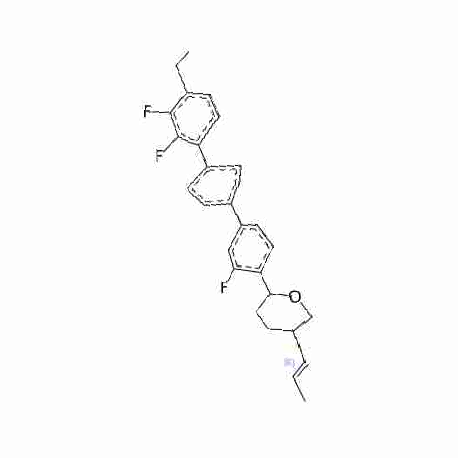 C/C=C/C1CCC(c2ccc(-c3ccc(-c4ccc(CC)c(F)c4F)cc3)cc2F)OC1